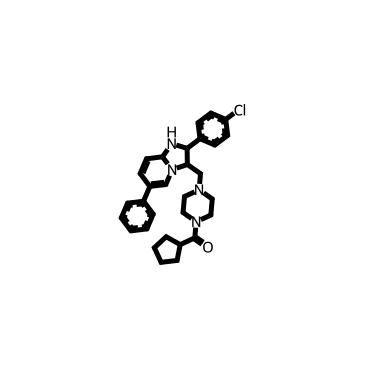 O=C(C1CCCC1)N1CCN(CC2C(c3ccc(Cl)cc3)NC3C=CC(c4ccccc4)=CN32)CC1